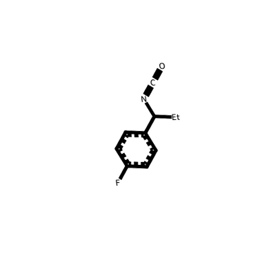 CCC(N=C=O)c1ccc(F)cc1